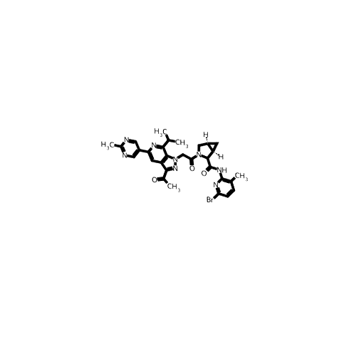 CC(=O)c1nn(CC(=O)N2C[C@H]3C[C@H]3C2C(=O)Nc2nc(Br)ccc2C)c2c(C(C)C)nc(-c3cnc(C)nc3)cc12